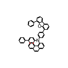 c1ccc(-c2ccc(N(c3ccc(-c4cccc5c4oc4c(-c6ccccc6)cccc45)cc3)c3cccc4ccc5ccccc5c34)cc2)cc1